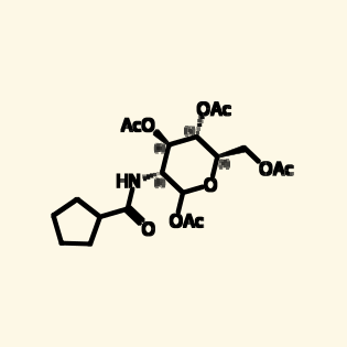 CC(=O)OC[C@H]1OC(OC(C)=O)[C@H](NC(=O)C2CCCC2)[C@@H](OC(C)=O)[C@@H]1OC(C)=O